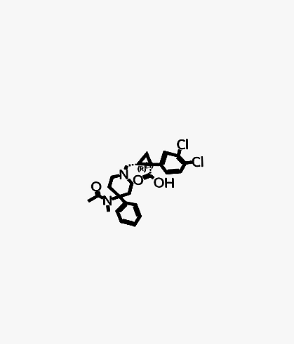 CC(=O)N(C)C1(c2ccccc2)CCN(C[C@@H]2C[C@@]2(C(=O)O)c2ccc(Cl)c(Cl)c2)CC1